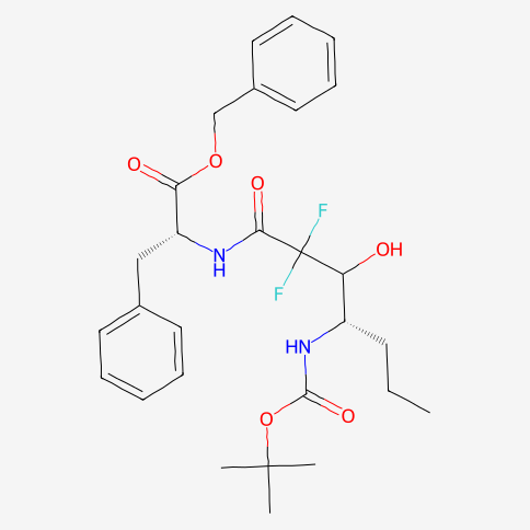 CCC[C@H](NC(=O)OC(C)(C)C)C(O)C(F)(F)C(=O)N[C@H](Cc1ccccc1)C(=O)OCc1ccccc1